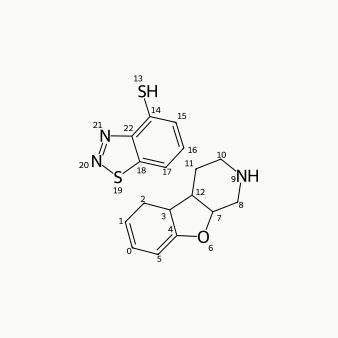 C1=CCC2C(=C1)OC1CNCCC12.Sc1cccc2snnc12